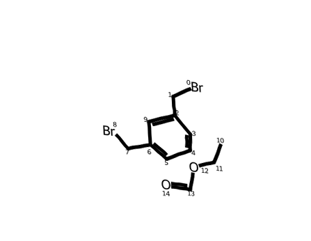 BrCc1cccc(CBr)c1.CCOC=O